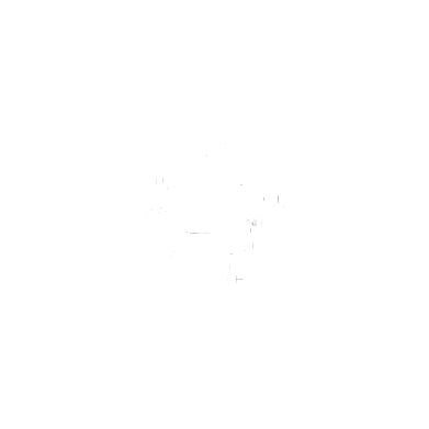 CC1CNCC1C(=O)C=O.Cc1cccc(C)c1